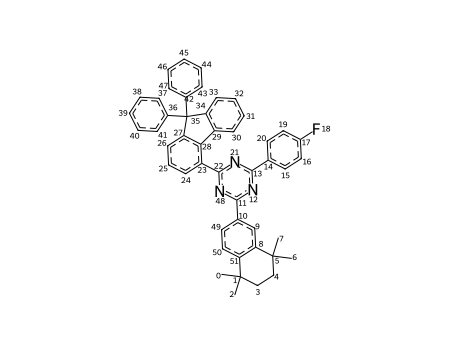 CC1(C)CCC(C)(C)c2cc(-c3nc(-c4ccc(F)cc4)nc(-c4cccc5c4-c4ccccc4C5(c4ccccc4)c4ccccc4)n3)ccc21